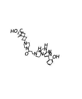 C[C@H]1[C@@H](C(=O)O)CC12CC(N1CCN(C(=O)CCN3CCN4c5cc(-c6ccccc6O)nnc5NC[C@H]4C3)CC1)C2